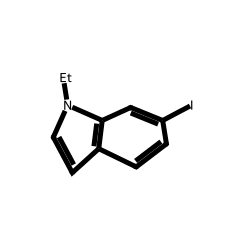 CCn1ccc2ccc(I)cc21